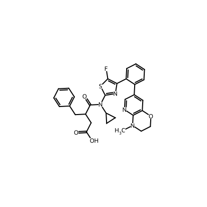 CN1CCOc2cc(-c3ccccc3-c3nc(N(C(=O)C(CC(=O)O)Cc4ccccc4)C4CC4)sc3F)cnc21